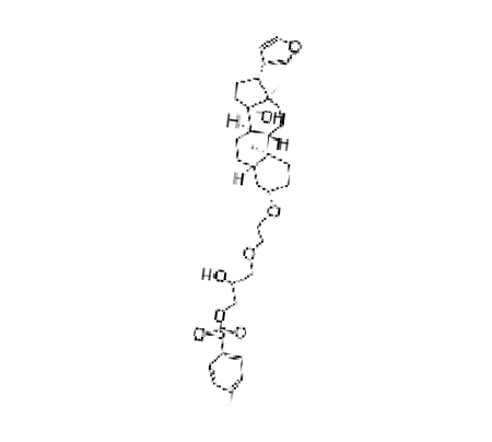 Cc1ccc(S(=O)(=O)OCC(O)COCCO[C@H]2CC[C@@]3(C)[C@H](CC[C@@H]4[C@@H]3CC[C@]3(C)[C@@H](c5ccoc5)CC[C@]43O)C2)cc1